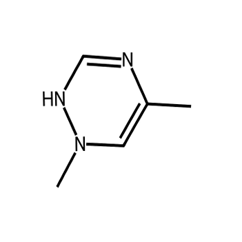 CC1=CN(C)NC=N1